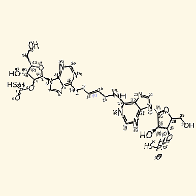 O=[PH](S)OC1[C@H](n2cnc3c(NC/C=C/CNc4ncnc5c4ncn5[C@@H]4OC(CO)[C@@H](O[PH](=O)S)[C@H]4O)ncnc32)O[C@H](CO)[C@H]1O